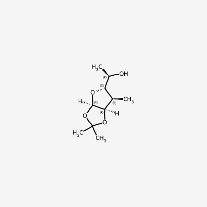 C[C@H]1[C@H]2OC(C)(C)O[C@H]2O[C@@H]1[C@@H](C)O